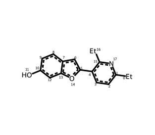 CCc1ccc(-c2cc3ccc(O)cc3o2)c(CC)n1